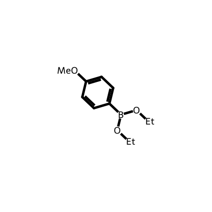 CCOB(OCC)c1ccc(OC)cc1